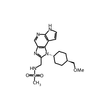 COC[C@H]1CC[C@H](n2c(CNS(C)(=O)=O)nc3cnc4[nH]ccc4c32)CC1